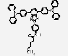 CCCCCC(=O)Nc1ccc(-n2nc3c(-c4ccc(N(c5ccccc5)c5ccccc5)cc4)ccc(-c4ccc(N(c5ccccc5)c5ccccc5)cc4)c3n2)cc1